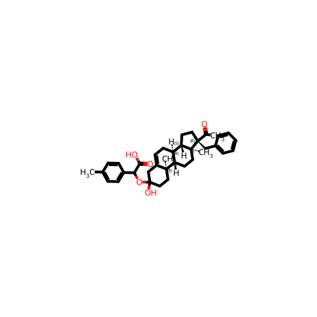 CC(=O)[C@@]1(Cc2ccccc2)CC[C@H]2[C@@H]3CC=C4CC(O)(OC(C(=O)O)c5ccc(C)cc5)CC[C@]4(C)[C@H]3CC[C@@]21C